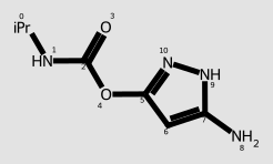 CC(C)NC(=O)Oc1cc(N)[nH]n1